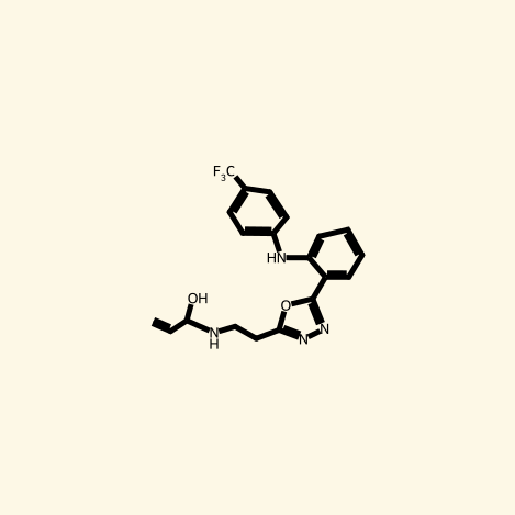 C=CC(O)NCCc1nnc(-c2ccccc2Nc2ccc(C(F)(F)F)cc2)o1